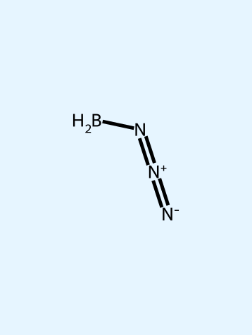 BN=[N+]=[N-]